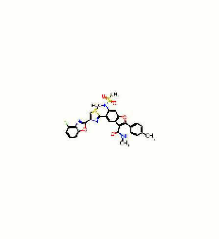 CNC(=O)c1c(-c2ccc(C)cc2)oc2cc(N(C)S(C)(=O)=O)c(-c3nc(-c4nc5c(F)cccc5o4)cs3)cc12